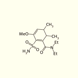 CCN(CC)C(=O)C1=C(S(N)(=O)=O)C(OC)=CC(C)C1C